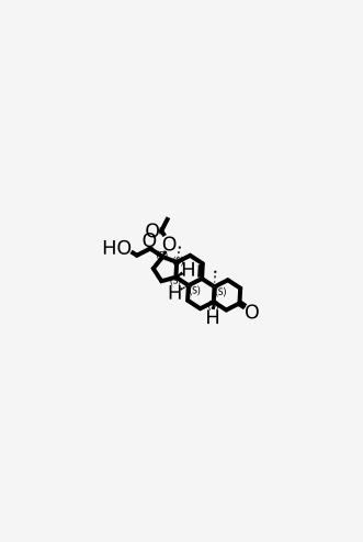 CC(=O)O[C@]1(C(=O)CO)CC[C@H]2[C@@H]3CC[C@H]4CC(=O)CC[C@]4(C)C3=CC[C@@]21C